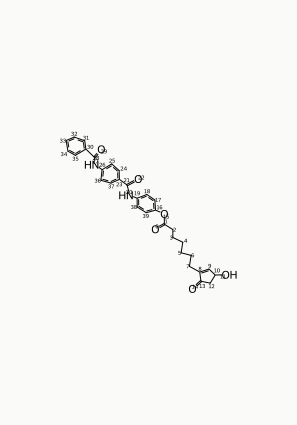 O=C(CCCCCCC1=CC(O)CC1=O)Oc1ccc(NC(=O)c2ccc(NC(=O)c3ccccc3)cc2)cc1